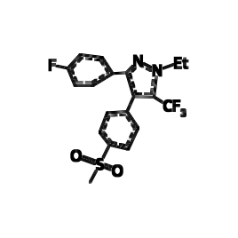 CCn1nc(-c2ccc(F)cc2)c(-c2ccc(S(C)(=O)=O)cc2)c1C(F)(F)F